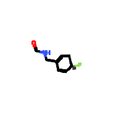 O=CNCC1=CC[C@H](F)C=C1